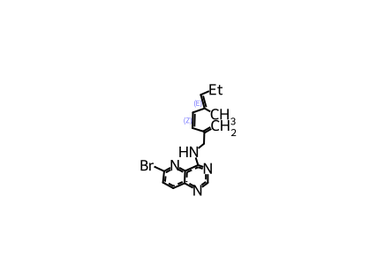 C=C(/C=C\C(C)=C\CC)CNc1ncnc2ccc(Br)nc12